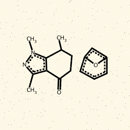 Cc1nn(C)c2c1C(=O)CCC2C.c1cc2cc(c1)O2